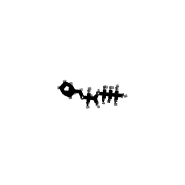 FC(OC(F)(F)C(F)(F)C(F)(F)F)C(F)(F)OCC1CC2C=CC1C2